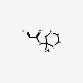 C=CC(=O)OC1(C)COCCO1